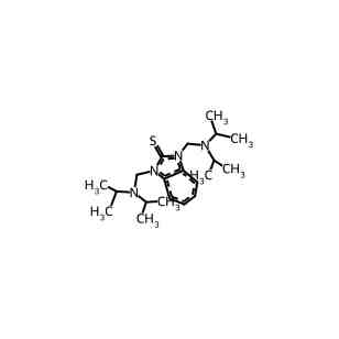 CC(C)N(Cn1c(=S)n(CN(C(C)C)C(C)C)c2ccccc21)C(C)C